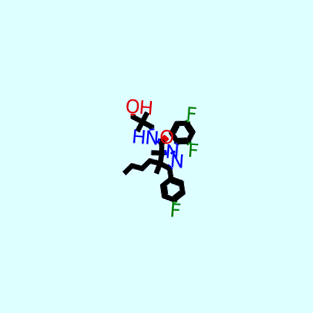 CCCCC1(C)C(c2ccc(F)cc2)=NN(c2ccc(F)cc2F)C1(C)C(=O)NCC(C)(C)CO